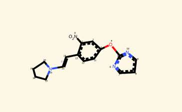 O=[N+]([O-])c1cc(Oc2ncccn2)ccc1/C=C/N1CCCC1